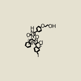 C[C@@H](c1ccccc1)[C@@H](c1nc(Cl)c(-c2ccc(I)cc2F)[nH]1)N1C(=O)NC(c2ccc(OCCO)cc2)C1=O